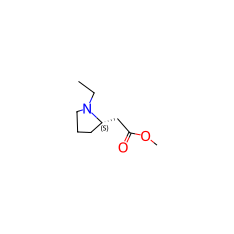 CCN1CCC[C@H]1CC(=O)OC